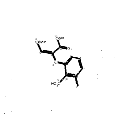 COC=C(Oc1cccc(C)c1C(=O)O)C(=O)OC